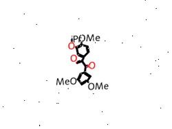 COc1cc(OC)cc(C(=O)c2coc3c(OC(C)C)c(OC)ccc23)c1